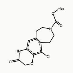 CC(C)(C)OC(=O)N1CCc2cc3c(c(Cl)c2CC1)OCC(=O)N3